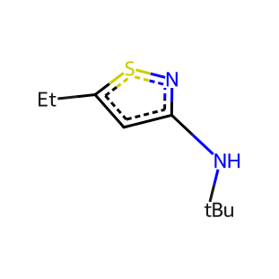 CCc1cc(NC(C)(C)C)ns1